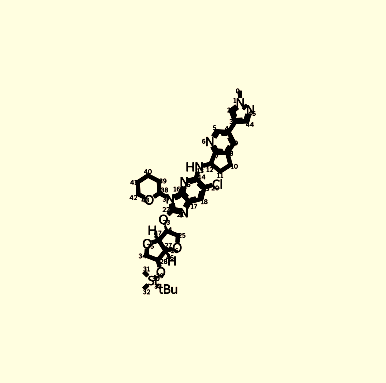 Cn1cc(-c2cnc3c(c2)CCC3Nc2nc3c(cc2Cl)nc(O[C@@H]2CO[C@@H]4C(O[Si](C)(C)C(C)(C)C)CO[C@@H]42)n3C2CCCCO2)cn1